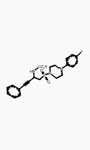 O=C(O)NC(C#Cc1ccccc1)CS(=O)(=O)N1CCN(c2ccc(F)cc2)CC1